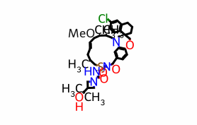 CO[C@H]1/C=C/C[C@H](C)C[S@@](=O)(NC(=O)N2CC(C(C)(C)O)C2)=NC(=O)c2ccc3c(c2)N(C[C@H](C)[C@H]1C)C[C@@]1(CCCc2cc(Cl)ccc21)CO3